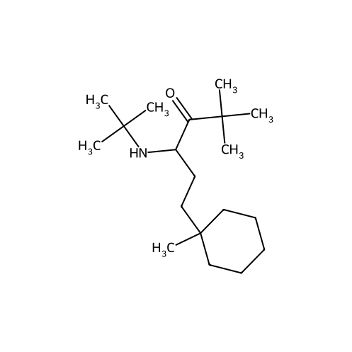 CC1(CCC(NC(C)(C)C)C(=O)C(C)(C)C)CCCCC1